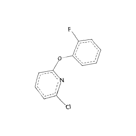 Fc1ccccc1Oc1cccc(Cl)n1